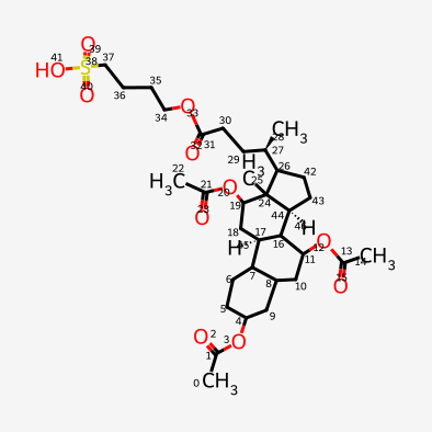 CC(=O)OC1CCC2C(C1)CC(OC(C)=O)C1[C@@H]2CC(OC(C)=O)C2(C)C([C@H](C)CCC(=O)OCCCCS(=O)(=O)O)CC[C@@H]12